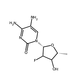 C[C@H]1O[C@@H](n2cc(N)c(N)nc2=O)C(F)C1O